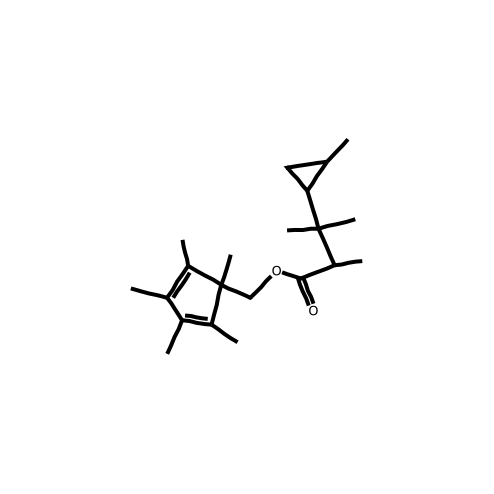 CC1=C(C)C(C)(COC(=O)C(C)C(C)(C)C2CC2C)C(C)=C1C